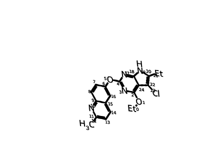 CCOc1nc(Oc2ccc3nc(C)ccc3c2)nc2[nH]c(CC)c(Cl)c12